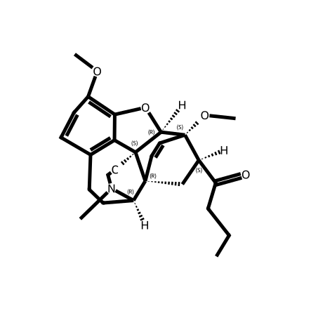 CCCC(=O)[C@H]1C[C@@]23C=C[C@@]1(OC)[C@@H]1Oc4c(OC)ccc5c4[C@@]12CCN(C)[C@@H]3CC5